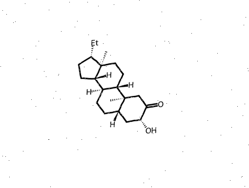 CC[C@H]1CC[C@H]2[C@@H]3CC[C@H]4C[C@@H](O)C(=O)C[C@]4(C)[C@H]3CC[C@]12C